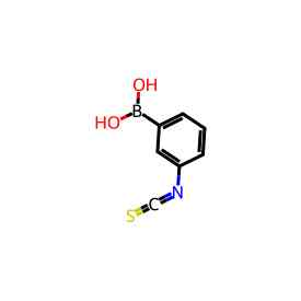 OB(O)c1cccc(N=C=S)c1